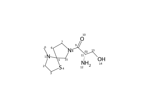 CN1CCSC12CCN(C(=O)[C@@H](N)CO)C2